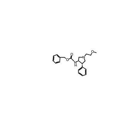 COCCN1C[C@H](NC(=O)OCc2ccccc2)[C@H](c2ccccc2)C1